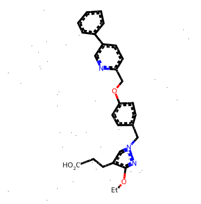 CCOc1nn(Cc2ccc(OCc3ccc(-c4ccccc4)cn3)cc2)cc1CCC(=O)O